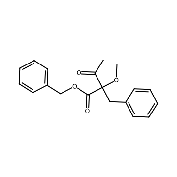 COC(Cc1ccccc1)(C(C)=O)C(=O)OCc1ccccc1